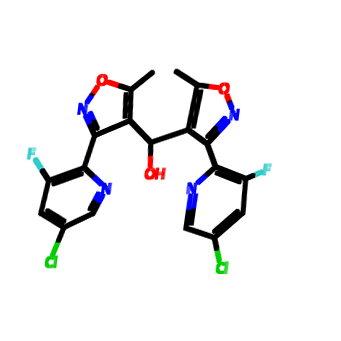 Cc1onc(-c2ncc(Cl)cc2F)c1C(O)c1c(-c2ncc(Cl)cc2F)noc1C